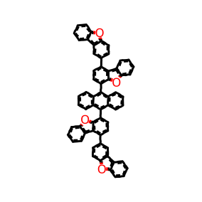 c1ccc2c(c1)oc1ccc(-c3ccc(-c4c5ccccc5c(-c5ccc(-c6ccc7oc8ccccc8c7c6)c6c5oc5ccccc56)c5ccccc45)c4oc5ccccc5c34)cc12